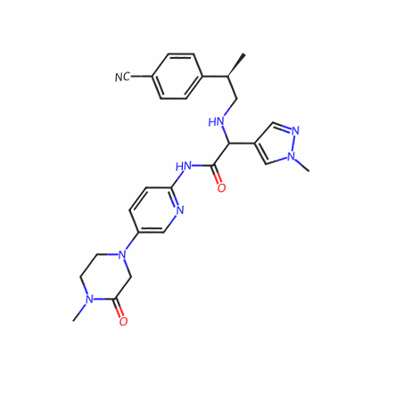 C[C@@H](CNC(C(=O)Nc1ccc(N2CCN(C)C(=O)C2)cn1)c1cnn(C)c1)c1ccc(C#N)cc1